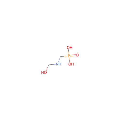 O=P(O)(O)CNCO